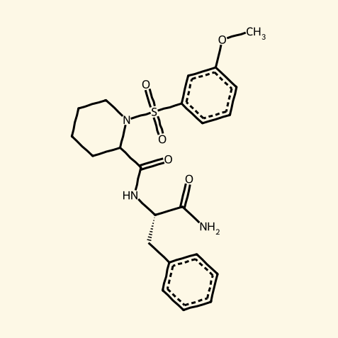 COc1cccc(S(=O)(=O)N2CCCCC2C(=O)N[C@@H](Cc2ccccc2)C(N)=O)c1